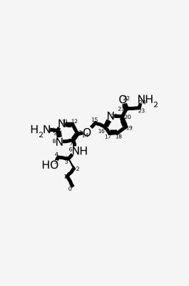 CCC[C@@H](CO)Nc1nc(N)ncc1OCc1cccc(C(=O)CN)n1